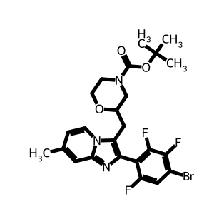 Cc1ccn2c(CC3CN(C(=O)OC(C)(C)C)CCO3)c(-c3c(F)cc(Br)c(F)c3F)nc2c1